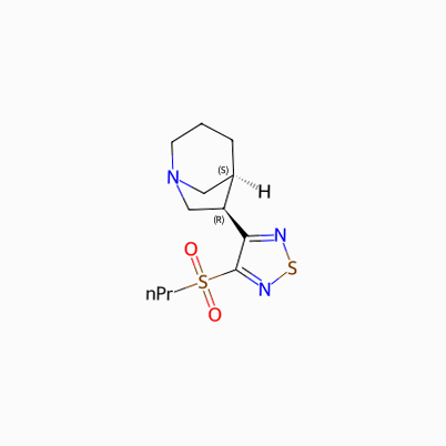 CCCS(=O)(=O)c1nsnc1[C@H]1CN2CCC[C@@H]1C2